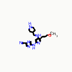 COCCCc1cnc(Nc2cnc(C#N)cn2)cc1NCC1CCNCC1